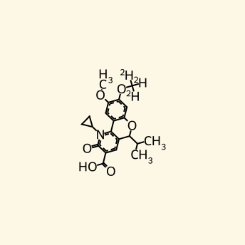 [2H]C([2H])([2H])Oc1cc2c(cc1OC)-c1c(cc(C(=O)O)c(=O)n1C1CC1)C(C(C)C)O2